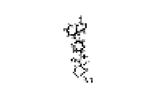 N#CN1CCC[C@](F)(C(=O)Nc2ccc(-c3cccc4[nH]ncc34)nn2)C1